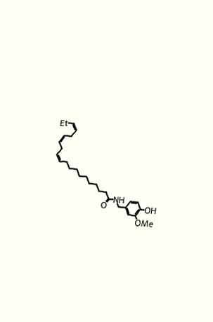 CC/C=C\C/C=C\C/C=C\CCCCCCCCCC(=O)NCc1ccc(O)c(OC)c1